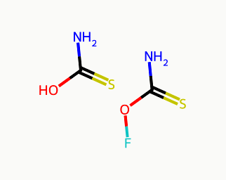 NC(=S)OF.NC(O)=S